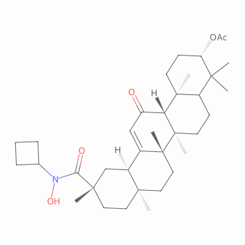 CC(=O)O[C@H]1CC[C@@]2(C)C(CC[C@]3(C)[C@@H]2C(=O)C=C2[C@@H]4C[C@@](C)(C(=O)N(O)C5CCC5)CC[C@]4(C)CC[C@]23C)C1(C)C